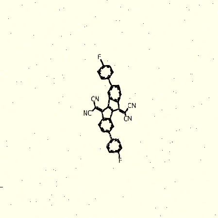 N#CC(C#N)=C1C2=C(C(=C(C#N)C#N)c3ccc(-c4ccc(F)cc4)cc32)c2cc(-c3ccc(F)cc3)ccc21